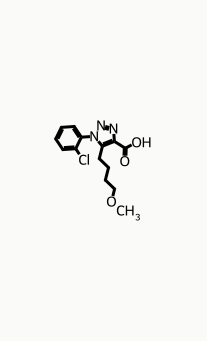 COCCCCc1c(C(=O)O)nnn1-c1ccccc1Cl